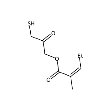 CCC=C(C)C(=O)OCC(=O)CS